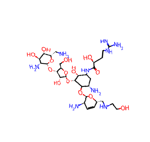 N=C(N)NCC[C@H](O)C(=O)N[C@@H]1C[C@H](N)[C@@H](O[C@H]2O[C@H](CNCCO)C=C[C@H]2N)[C@H](O[C@@H]2O[C@H](CO)[C@@H](O[C@H]3O[C@@H](CN)[C@@H](O)[C@H](O)[C@H]3N)[C@H]2O)[C@H]1O